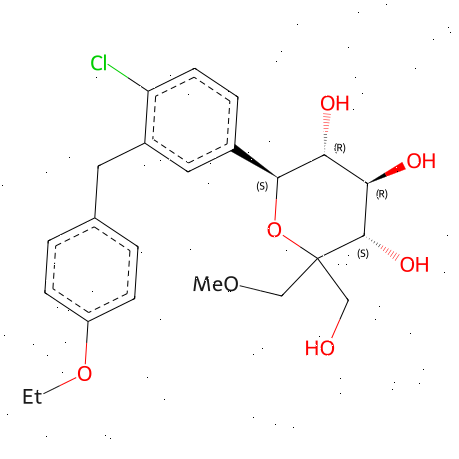 CCOc1ccc(Cc2cc([C@@H]3OC(CO)(COC)[C@@H](O)[C@H](O)[C@H]3O)ccc2Cl)cc1